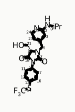 CC(C)Nc1cc(CN2C(=O)N(c3ccc(SC(F)(F)F)cc3)C(=O)[C@@H]2CO)ccn1